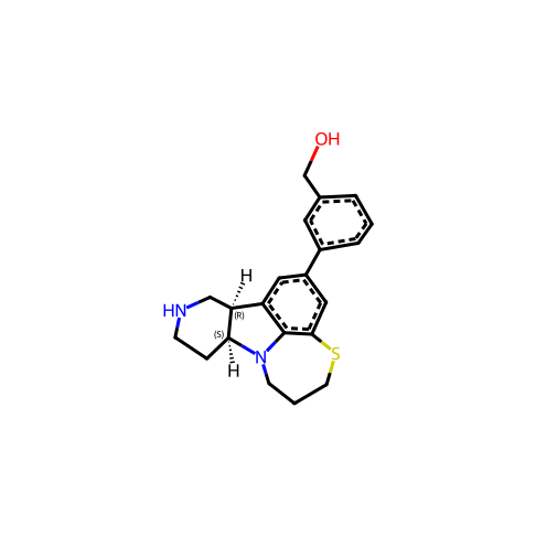 OCc1cccc(-c2cc3c4c(c2)[C@@H]2CNCC[C@@H]2N4CCCS3)c1